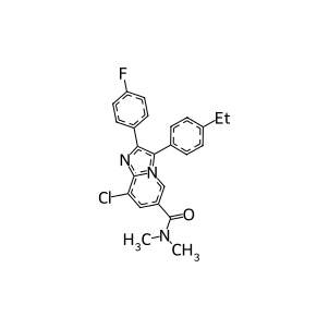 CCc1ccc(-c2c(-c3ccc(F)cc3)nc3c(Cl)cc(C(=O)N(C)C)cn23)cc1